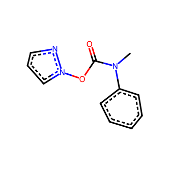 CN(C(=O)On1cccn1)c1ccccc1